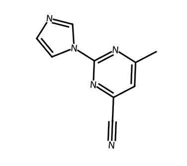 Cc1cc(C#N)nc(-n2ccnc2)n1